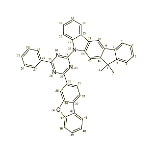 CC1(C)c2ccccc2-c2cc3c4ccccc4n(-c4nc(-c5ccccc5)nc(-c5ccc6c(c5)oc5ccccc56)n4)c3cc21